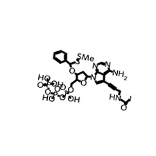 CSSC(OC1CC(n2cc(C#CCNC(=O)I)c3c(N)ncnc32)OC1COP(=O)(O)OP(=O)(O)OP(=O)(O)O)c1ccccc1